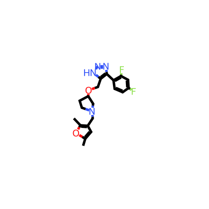 Cc1cc(CN2CCC(OCc3[nH]nnc3-c3ccc(F)cc3F)C2)c(C)o1